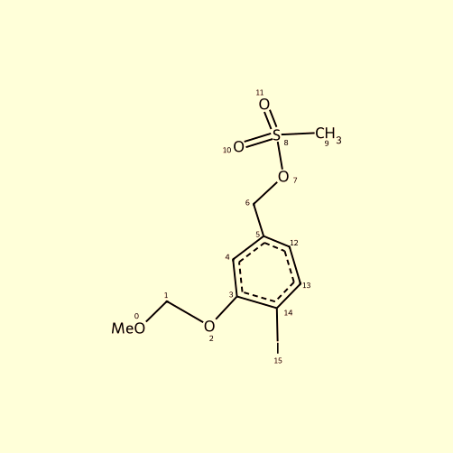 COCOc1cc(COS(C)(=O)=O)ccc1I